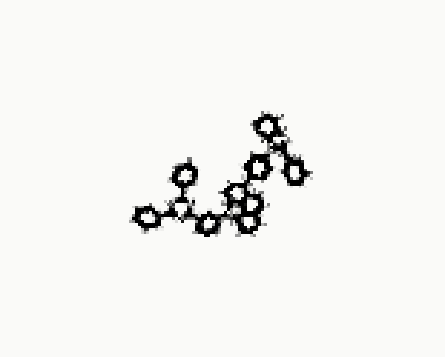 c1ccc(-c2nc(-c3ccccc3)nc(-c3cccc(-n4c5cccc6ccc7c(-c8ccc(-n9c(-c%10ccccc%10)nc%10ccccc%109)cc8)ccc4c7c65)c3)n2)cc1